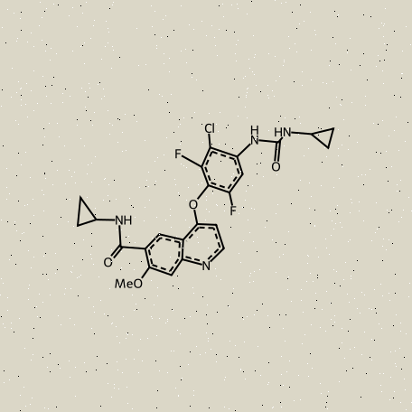 COc1cc2nccc(Oc3c(F)cc(NC(=O)NC4CC4)c(Cl)c3F)c2cc1C(=O)NC1CC1